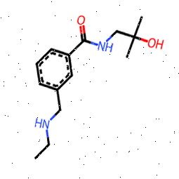 CCNCc1cccc(C(=O)NCC(C)(C)O)c1